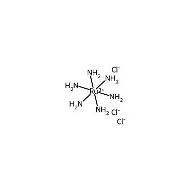 [Cl-].[Cl-].[Cl-].[NH2][Ru+3]([NH2])([NH2])([NH2])([NH2])[NH2]